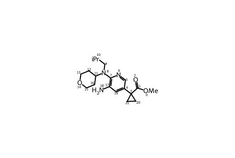 COC(=O)C1(c2cnc(N(CC(C)C)C3CCOCC3)c(N)c2)CC1